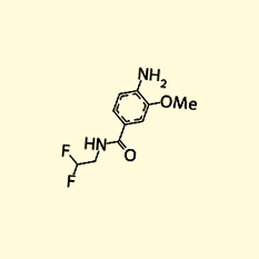 COc1cc(C(=O)NCC(F)F)ccc1N